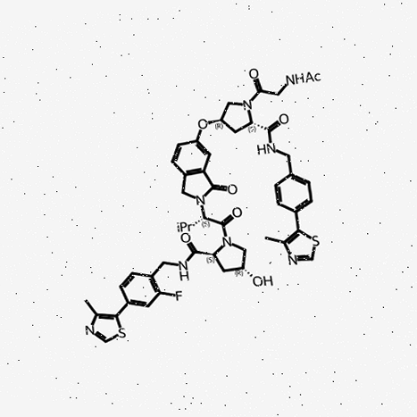 CC(=O)NCC(=O)N1C[C@H](Oc2ccc3c(c2)C(=O)N([C@H](C(=O)N2C[C@H](O)C[C@H]2C(=O)NCc2ccc(-c4scnc4C)cc2F)C(C)C)C3)C[C@H]1C(=O)NCc1ccc(-c2scnc2C)cc1